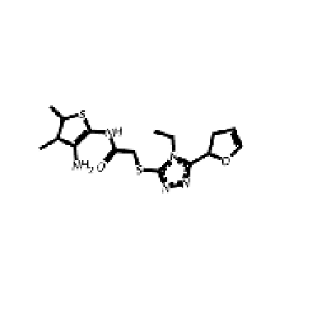 CCn1c(SCC(=O)NC2=C(N)C(C)C(C)S2)nnc1C1CC=CO1